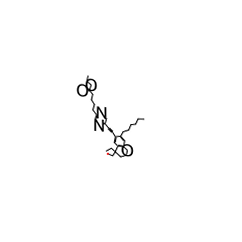 CCCCCCc1cc2c(cc1C#Cc1cnc(CCCCC(=O)OCC)cn1)C(CC)(CC)CCO2